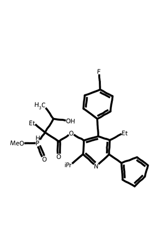 CCc1c(-c2ccccc2)nc(C(C)C)c(OC(=O)C(CC)(C(C)O)[PH](=O)OC)c1-c1ccc(F)cc1